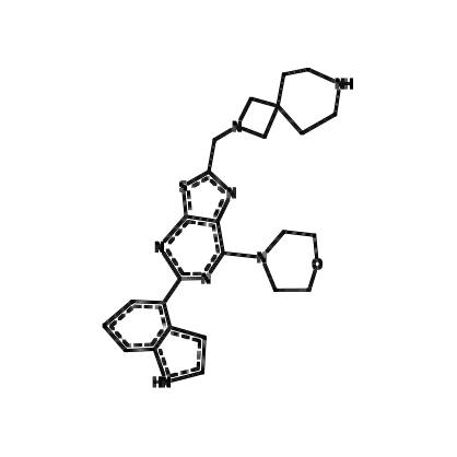 c1cc(-c2nc(N3CCOCC3)c3nc(CN4CC5(CCNCC5)C4)sc3n2)c2cc[nH]c2c1